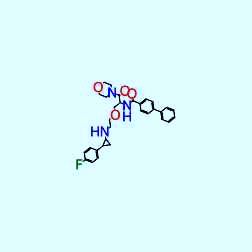 O=C(N[C@@H](COCCNC1C[C@H]1c1ccc(F)cc1)C(=O)N1CCOCC1)c1ccc(-c2ccccc2)cc1